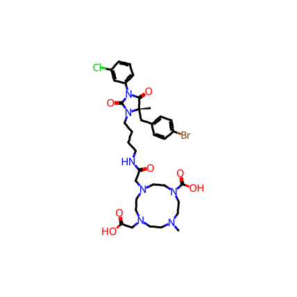 CN1CCN(CC(=O)O)CCN(CC(=O)NCCCCN2C(=O)N(c3cccc(Cl)c3)C(=O)[C@]2(C)Cc2ccc(Br)cc2)CCN(C(=O)O)CC1